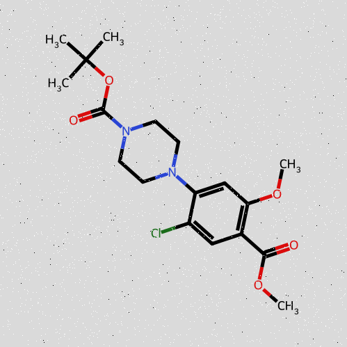 COC(=O)c1cc(Cl)c(N2CCN(C(=O)OC(C)(C)C)CC2)cc1OC